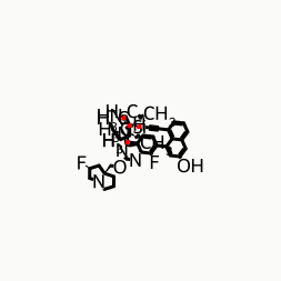 CC(C)[Si](C#Cc1cccc2cc(O)cc(-c3ccc4c(N5[C@@H]6CC[C@H]5CNC6)nc(OC[C@@]56CCCN5C[C@H](F)C6)nc4c3F)c12)(C(C)C)C(C)C